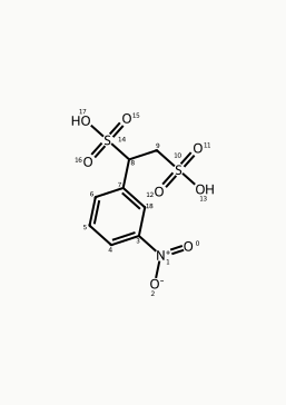 O=[N+]([O-])c1cccc(C(CS(=O)(=O)O)S(=O)(=O)O)c1